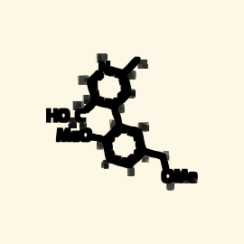 COCc1ccc(OC)c(-c2cc(C)ncc2C(=O)O)c1